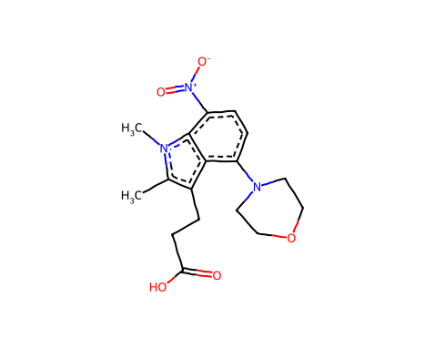 Cc1c(CCC(=O)O)c2c(N3CCOCC3)ccc([N+](=O)[O-])c2n1C